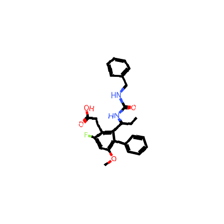 CCC(NC(=O)NCc1ccccc1)c1c(CC(=O)O)c(F)cc(OC)c1-c1ccccc1